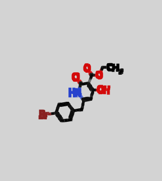 CCOC(=O)c1c(O)cc(Cc2ccc(Br)cc2)[nH]c1=O